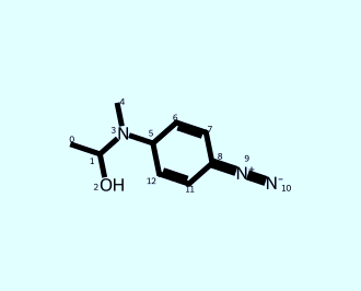 CC(O)N(C)C1C=CC(=[N+]=[N-])C=C1